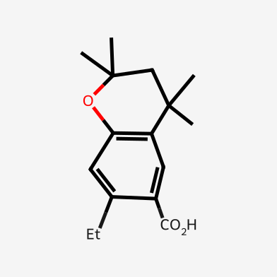 CCc1cc2c(cc1C(=O)O)C(C)(C)CC(C)(C)O2